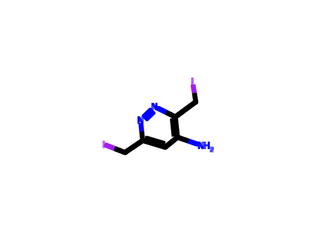 Nc1cc(CI)nnc1CI